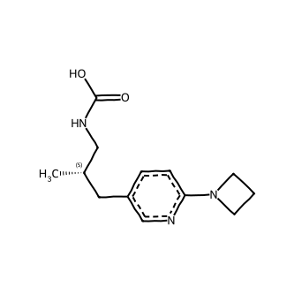 C[C@H](CNC(=O)O)Cc1ccc(N2CCC2)nc1